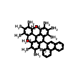 Bc1c(B)c(B)c(-c2c3c(B)c(B)c(B)c(B)c3c(-c3cc4ccccc4c4ccccc34)c3c(B)c(B)c(B)c(B)c23)c(B)c1B